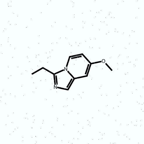 CCc1ncc2cc(OC)ccn12